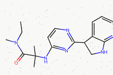 CCN(C)C(=O)C(C)(C)Nc1ccnc(C2CNc3ncccc32)n1